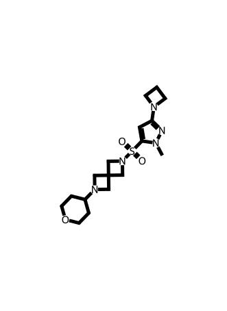 Cn1nc(N2CCC2)cc1S(=O)(=O)N1CC2(CN(C3CCOCC3)C2)C1